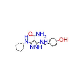 NC(=O)c1c(NC2CCCCC2)n[nH]c1NCc1ccc(O)cc1